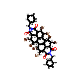 O=C1c2c(Br)c(Br)c3c4c(Br)c(Br)c5c6c(c(Br)c(Br)c(c7c(Br)c(Br)c(c2c37)C(=O)N1Cc1ccccc1)c64)C(=O)N(Cc1ccccc1)C5=O